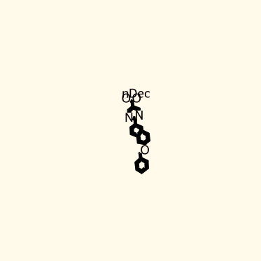 CCCCCCCCCCOC(=O)c1cnc(-c2ccc3cc(OCc4ccccc4)ccc3c2)nc1